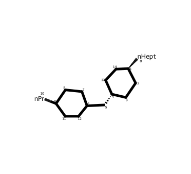 CCCCCCC[C@H]1CC[C@H](CC2CCC(CCC)CC2)CC1